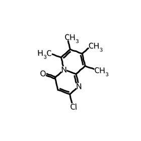 Cc1c(C)c(C)n2c(=O)cc(Cl)nc2c1C